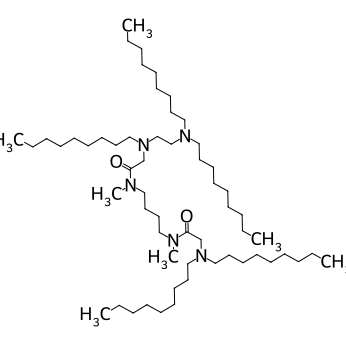 CCCCCCCCCN(CCCCCCCCC)CCN(CCCCCCCCC)CC(=O)N(C)CCCCN(C)C(=O)CN(CCCCCCCCC)CCCCCCCCC